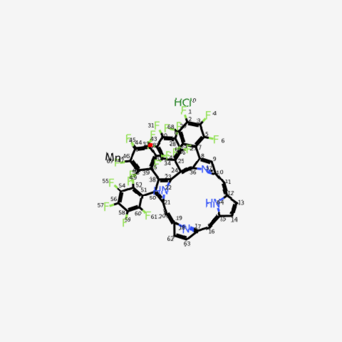 Cl.Fc1c(F)c(F)c(C2=Cc3cc4ccc(cc5nc(cc6[nH]c(c(-c7c(F)c(F)c(F)c(F)c7F)c2n3)c(-c2c(F)c(F)c(F)c(F)c2F)c6-c2c(F)c(F)c(F)c(F)c2F)C=C5)[nH]4)c(F)c1F.[Mn]